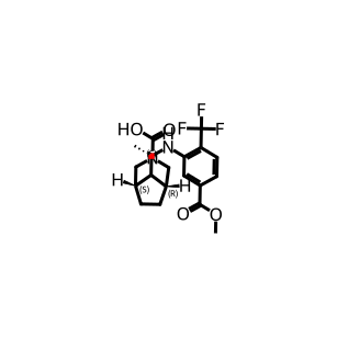 COC(=O)c1ccc(C(F)(F)F)c(N[C@@H](C)C2[C@@H]3CC[C@H]2CN(C(=O)O)C3)c1